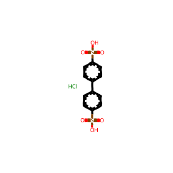 Cl.O=S(=O)(O)c1ccc(-c2ccc(S(=O)(=O)O)cc2)cc1